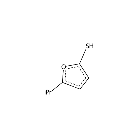 CC(C)c1ccc(S)o1